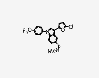 CNSc1ccc2c(c1)c(-c1ccc(Cl)o1)cn2-c1ccc(C(F)(F)F)cc1